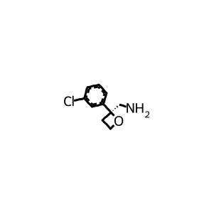 NC[C@@]1(c2cccc(Cl)c2)CCO1